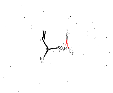 C=CC(CC)S(=O)(=O)O.CCOCC